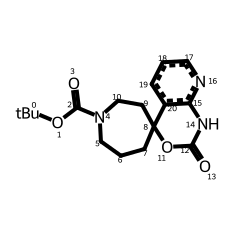 CC(C)(C)OC(=O)N1CCCC2(CC1)OC(=O)Nc1ncccc12